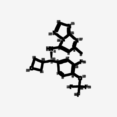 Cc1cc(N[C@H](c2ccc(OC(F)(F)F)c(F)c2)C2COC2)n2ncnc2n1